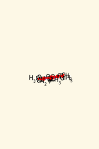 C=C(C)C(=O)OCOc1ccc(/C=C/C(=O)Oc2ccc(OC(=O)/C=C/c3ccc(OCOC(=O)C(=C)C)cc3)c(C(F)(F)F)c2C)cc1